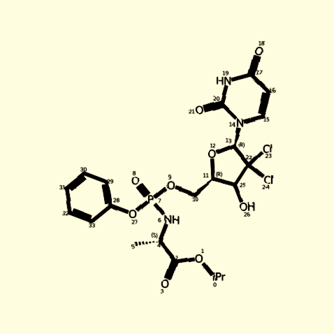 CC(C)OC(=O)[C@H](C)NP(=O)(OC[C@H]1O[C@@H](n2ccc(=O)[nH]c2=O)C(Cl)(Cl)C1O)Oc1ccccc1